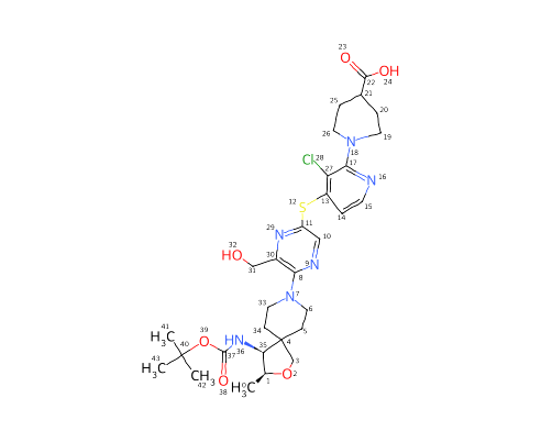 C[C@@H]1OCC2(CCN(c3ncc(Sc4ccnc(N5CCC(C(=O)O)CC5)c4Cl)nc3CO)CC2)[C@@H]1NC(=O)OC(C)(C)C